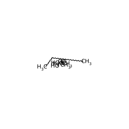 CCCCCCCC/C=C\CCCCCCC(CC(=O)CCCCCCCCCCCCCCC)C(C[N+](C)(C)C)OCC(O)CO